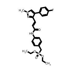 CCOP(=O)(Cc1ccc(NC(=O)/C=C/c2nn(C)cc2-c2ccc(F)cc2)cc1)OCC